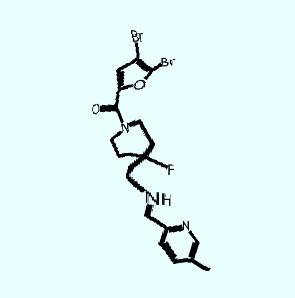 Cc1ccc(CNCC2(F)CCN(C(=O)c3cc(Br)c(Br)o3)CC2)nc1